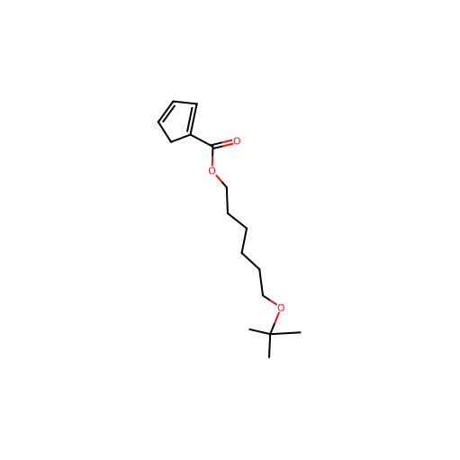 CC(C)(C)OCCCCCCOC(=O)C1=CC=CC1